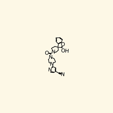 N#Cc1ccnc(N2CCN(C(=O)N3CCC(C(=O)O)(c4ccccc4)CC3)CC2)c1